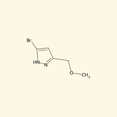 COCc1cc(Br)[nH]n1